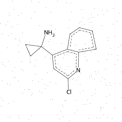 NC1(c2cc(Cl)nc3ccccc23)CC1